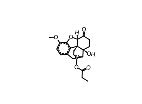 CCC(=O)ON1CC[C@@]23c4c5ccc(OC)c4O[C@@H]2C(=O)CC[C@]3(O)C1C5